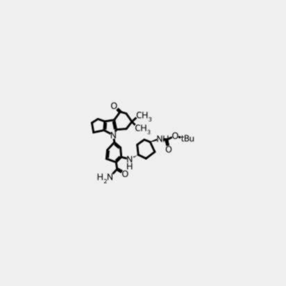 CC1(C)CC(=O)c2c3c(n(-c4ccc(C(N)=O)c(N[C@H]5CC[C@H](NC(=O)OC(C)(C)C)CC5)c4)c2C1)CCC3